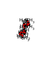 CN[C@@H](C)C(=S)N[C@H]1CCS[C@H]2CC(C)(C)[C@@H](C(=O)N[C@@H]3c4ccccc4CC[C@H]3C(=O)NCCNC(=O)[C@@H]3CCc4ccccc4[C@H]3NC(=O)[C@H]3N4C(=O)[C@@H](NC(=S)[C@H](C)NC)CCS[C@H]4CC3(C)C)N2C1=O